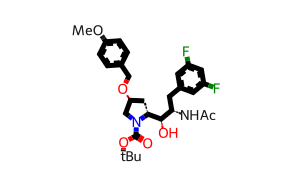 COc1ccc(CO[C@@H]2C[C@H]([C@@H](O)[C@H](Cc3cc(F)cc(F)c3)NC(C)=O)N(C(=O)OC(C)(C)C)C2)cc1